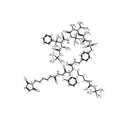 C/C(=C\[C@H](C(C)C)N(C)C(=O)[C@@H](NC(=O)[C@@H](N(C)C(=O)OC(C)(C)C)C(C)(C)c1ccccc1)C(C)(C)C)C(=O)NS(=O)(=O)Cc1ccc(CNC(=O)[C@H](CCCCNC(=O)OC(C)(C)C)NC(=O)[C@H](Cc2ccccc2)NC(=O)CCCCCN2C(=O)C=CC2=O)cc1